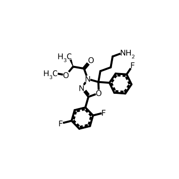 CO[C@@H](C)C(=O)N1N=C(c2cc(F)ccc2F)OC1(CCCN)c1cccc(F)c1